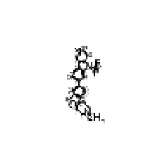 CN1CCC2(CC1)OCc1cc(-c3ccc4c5cnccc5n(C(F)F)c4c3)ccc12